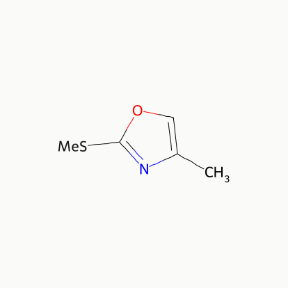 [CH2]Sc1nc(C)co1